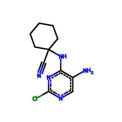 N#CC1(Nc2nc(Cl)ncc2N)CCCCC1